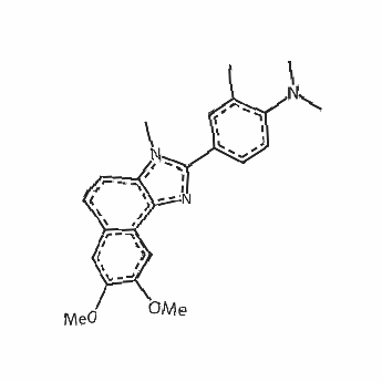 COc1cc2ccc3c(nc(-c4ccc(N(C)C)c(C)c4)n3C)c2cc1OC